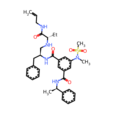 C=CCNC(=O)[C@H](CC)NC[C@H](Cc1ccccc1)NC(=O)c1cc(C(=O)N[C@H](C)c2ccccc2)cc(N(C)S(C)(=O)=O)c1